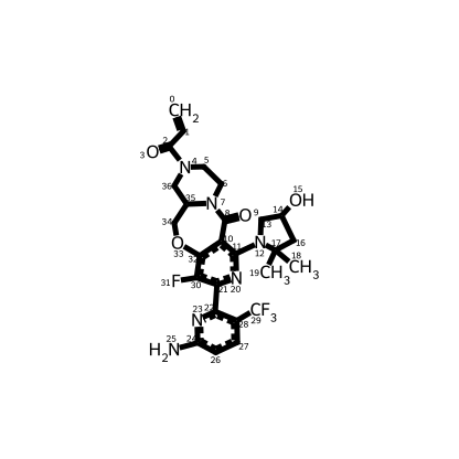 C=CC(=O)N1CCN2C(=O)c3c(N4CC(O)CC4(C)C)nc(-c4nc(N)ccc4C(F)(F)F)c(F)c3OCC2C1